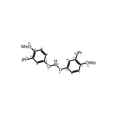 COc1ccc(OBOc2ccc(OC)c(C(C)C)c2)cc1C(C)C